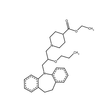 CCCOC(CN1CCC(C(=O)OCC)CC1)CN1c2ccccc2CCc2ccccc21